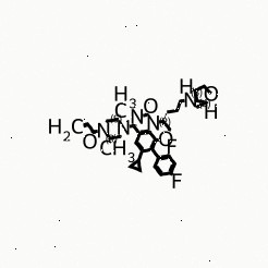 C=CC(=O)N1C[C@H](C)N(c2nc(=O)n3c4c(c(-c5ccc(F)cc5F)c(C5CC5)cc24)OC[C@H]3CCCN2C[C@@H]3C[C@H]2CO3)C[C@H]1C